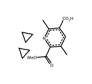 C1CC1.C1CC1.COC(=O)c1nc(C)c(C(=O)O)cc1C